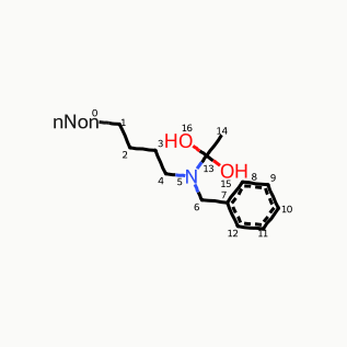 CCCCCCCCCCCCCN(Cc1ccccc1)C(C)(O)O